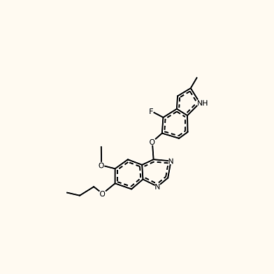 CCCOc1cc2ncnc(Oc3ccc4[nH]c(C)cc4c3F)c2cc1OC